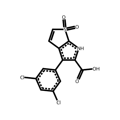 O=C(O)c1[nH]c2c(c1-c1cc(Cl)cc(Cl)c1)C=CS2(=O)=O